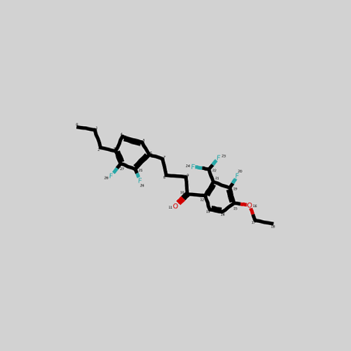 CCCc1ccc(CCCC(=O)c2ccc(OCC)c(F)c2C(F)F)c(F)c1F